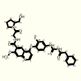 COc1cc2nccc(Oc3ccc(NC(=S)NC(=O)Cc4ccccc4)cc3F)c2cc1C(=O)NCC(=O)N1CCCC1CO